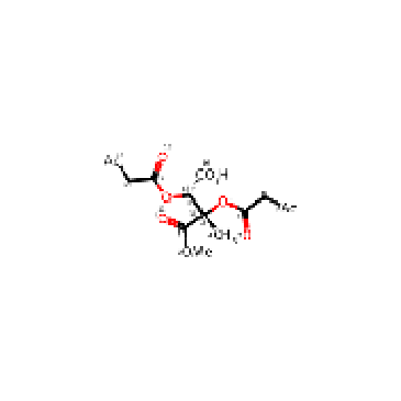 COC(=O)[C@@](C)(OC(=O)CC(C)=O)[C@H](OC(=O)CC(C)=O)C(=O)O